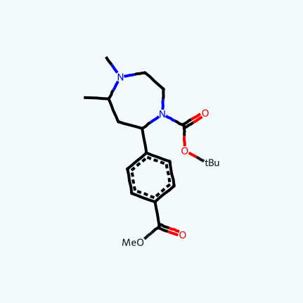 COC(=O)c1ccc(C2CC(C)N(C)CCN2C(=O)OC(C)(C)C)cc1